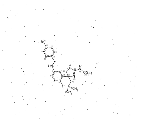 CC1(C)Cc2ccc(NCc3ccc(Br)cn3)cc2C2(COC(NC(=O)O)=N2)C1